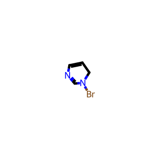 BrN1C=NC=CC1